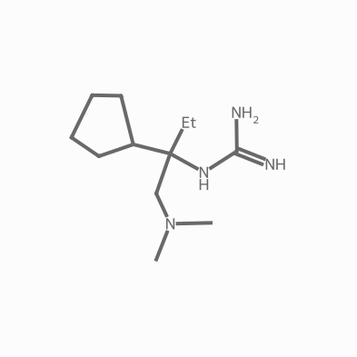 [CH2]CC(CN(C)C)(NC(=N)N)C1CCCC1